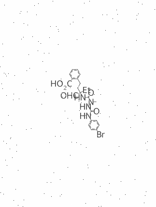 CCC(C=O)(CCc1ccccc1C(=O)O)NC(=O)N(C)NC(=O)Nc1ccc(Br)cc1